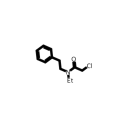 CCN(CCc1ccccc1)C(=O)CCl